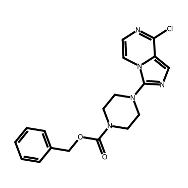 O=C(OCc1ccccc1)N1CCN(c2ncc3c(Cl)nccn23)CC1